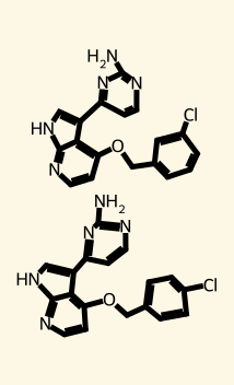 Nc1nccc(-c2c[nH]c3nccc(OCc4ccc(Cl)cc4)c23)n1.Nc1nccc(-c2c[nH]c3nccc(OCc4cccc(Cl)c4)c23)n1